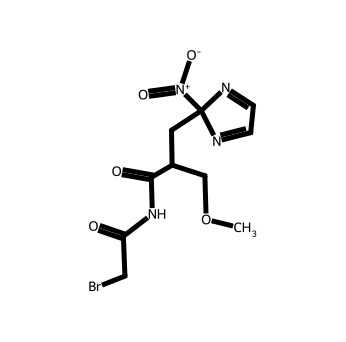 COCC(CC1([N+](=O)[O-])N=CC=N1)C(=O)NC(=O)CBr